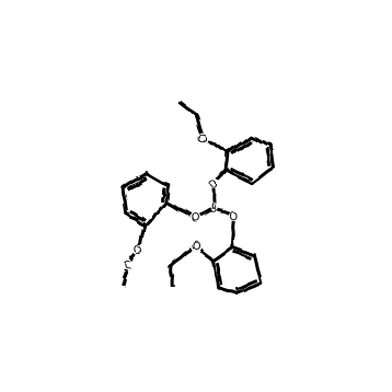 CCOc1ccccc1OB(Oc1ccccc1OCC)Oc1ccccc1OCC